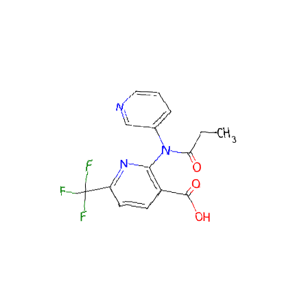 CCC(=O)N(c1cccnc1)c1nc(C(F)(F)F)ccc1C(=O)O